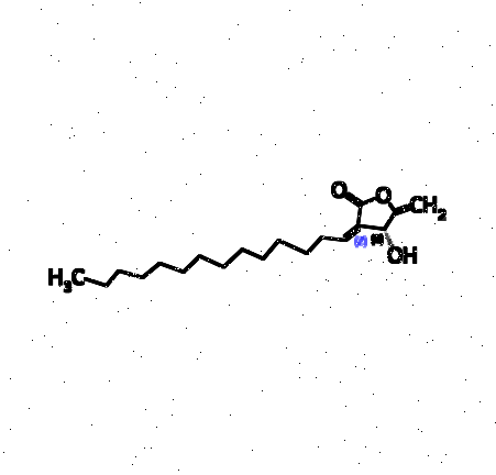 C=C1OC(=O)/C(=C\CCCCCCCCCCCCC)[C@H]1O